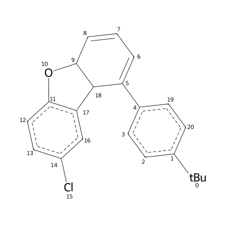 CC(C)(C)c1ccc(C2=CC=CC3Oc4ccc(Cl)cc4C23)cc1